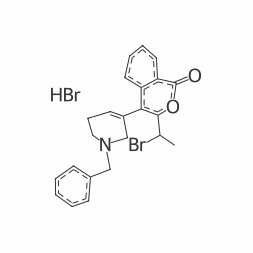 Br.CC(Br)c1oc(=O)c2ccccc2c1C1=CCCN(Cc2ccccc2)C1